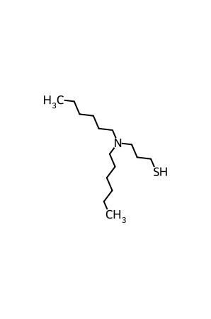 CCCCCCN(CCCS)CCCCCC